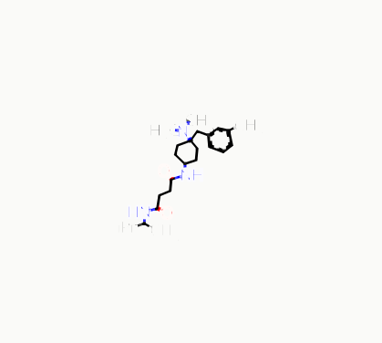 Cc1cccc(CC2(N(C)C)CCC(NC(=O)CCC(=O)NC(C)C(C)C)CC2)c1